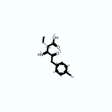 CC[C@@H](C(=N)C(=O)Cc1ccc(I)cc1)C(=O)O